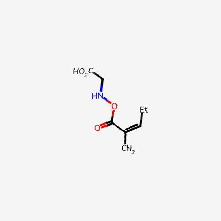 CCC=C(C)C(=O)ONCC(=O)O